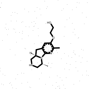 Cc1nc2c(cc1OCCO)C[C@@H]1CNC[C@@H](C)N21